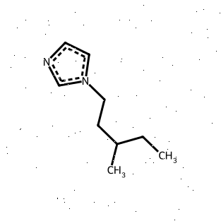 CCC(C)CCn1ccnc1